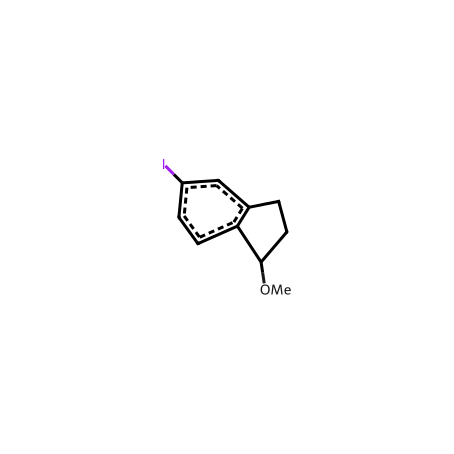 COC1CCc2cc(I)ccc21